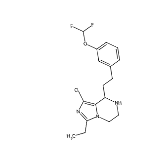 CCc1nc(Cl)c2n1CCNC2CCc1cccc(OC(F)F)c1